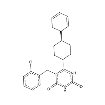 O=c1[nH]c(=O)c(Cc2ccccc2Cl)c([C@H]2CC[C@H](C3C=CC=CC3)CC2)[nH]1